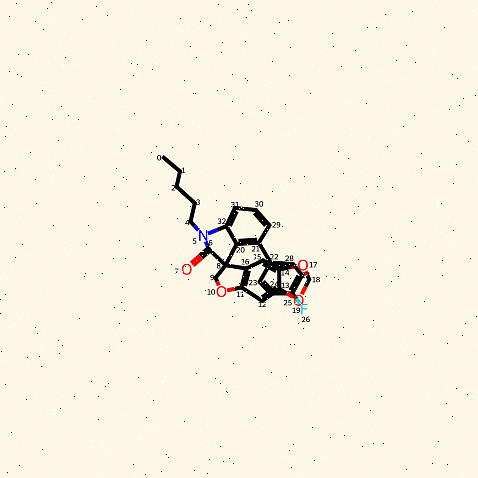 CCCCCN1C(=O)C2(COc3cc4c(cc32)OCO4)c2c(-c3ccc(F)cc3)cccc21